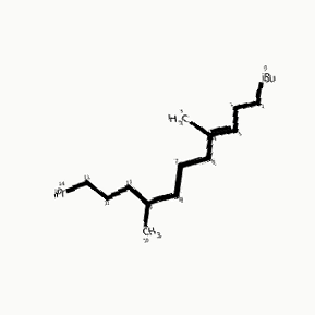 CCC(C)CC/C=C(\C)CCCC(C)CCCC(C)C